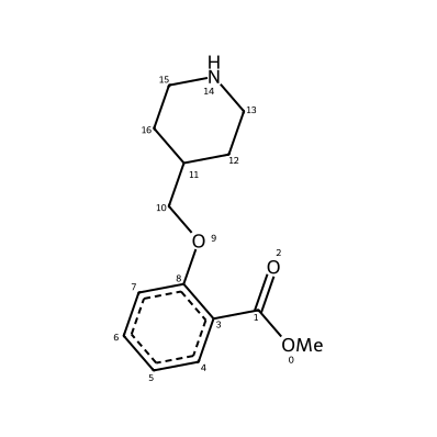 COC(=O)c1ccccc1OCC1CCNCC1